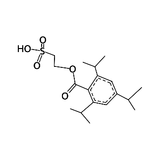 CC(C)c1cc(C(C)C)c(C(=O)OCCS(=O)(=O)O)c(C(C)C)c1